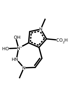 CN1C=Cc2c(cn(C)c2C(=O)O)[N+](O)(O)N1